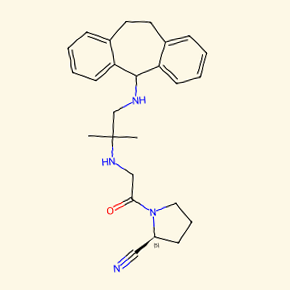 CC(C)(CNC1c2ccccc2CCc2ccccc21)NCC(=O)N1CCC[C@H]1C#N